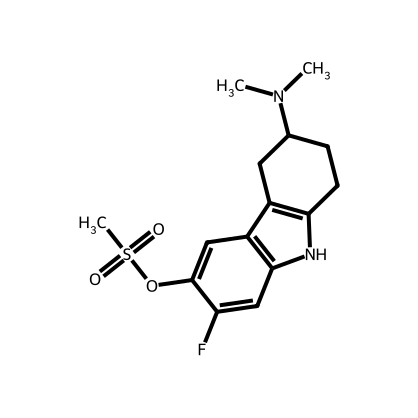 CN(C)C1CCc2[nH]c3cc(F)c(OS(C)(=O)=O)cc3c2C1